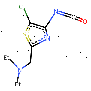 CCN(CC)Cc1nc(N=C=O)c(Cl)s1